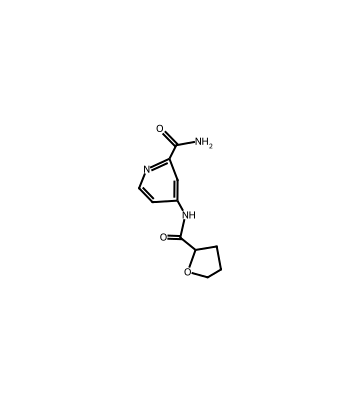 NC(=O)c1cc(NC(=O)C2CCCO2)ccn1